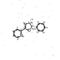 C[C@H]1N=C(c2ccccn2)O[C@H]1c1ccccc1